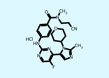 Cc1ncc(-c2nc(Nc3ccc(C(=O)N(C)CCC#N)cc3)ncc2F)n1C1CCOCC1.Cl